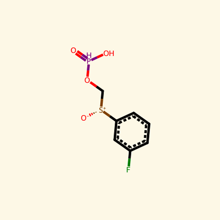 O=[PH](O)OC[S@@+]([O-])c1cccc(F)c1